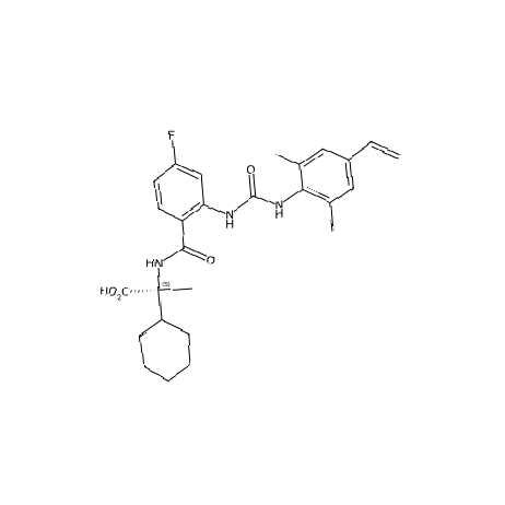 C=Cc1cc(C)c(NC(=O)Nc2cc(F)ccc2C(=O)N[C@](C)(C(=O)O)C2CCCCC2)c(C)c1